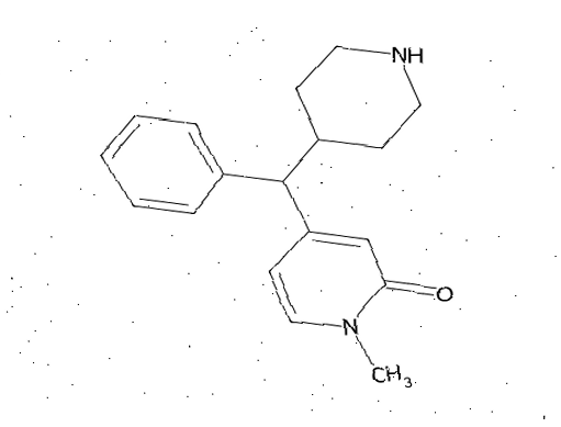 Cn1ccc(C(c2ccccc2)C2CCNCC2)cc1=O